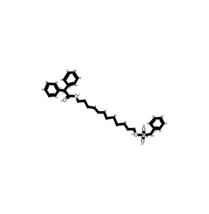 O=C(OCCCCCCCCCCCCOS(=O)(=O)Cc1ccccc1)C(c1ccccc1)c1ccccc1